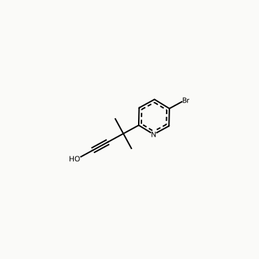 CC(C)(C#CO)c1ccc(Br)cn1